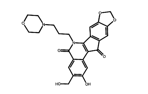 O=C1c2cc3c(cc2-c2c1c1cc(O)c(CO)cc1c(=O)n2CCCN1CCOCC1)OCO3